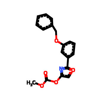 COC(=O)Oc1coc(-c2cccc(OCc3ccccc3)c2)n1